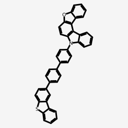 c1ccc2c(c1)oc1ccc3c(c4ccccc4n3-c3ccc(-c4ccc(-c5ccc6sc7ccccc7c6c5)cc4)cc3)c12